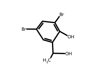 CC(O)c1cc(Br)cc(Br)c1O